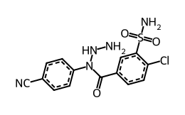 N#Cc1ccc(N(NN)C(=O)c2ccc(Cl)c(S(N)(=O)=O)c2)cc1